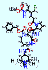 CC(C)C[C@H](NC(=O)OC(C)(C)C)/C(=C/CC(=O)N1CCC[C@H]1C(=O)N[C@@H]1C(=O)N[C@H](C(=O)NC2CC(C)(C)NC(C)(C)C2)CCCN(C(=O)OCc2ccccc2)C1C)CF